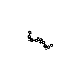 CC1(C)c2cc(-c3ccc4oc5ccc(-c6ccccc6)cc5c4c3)ccc2-c2c1ccc1c2C(C)(C)c2cc(-c3ccc4oc5ccc(-c6ccccc6)cc5c4c3)ccc2-1